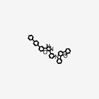 c1ccc(-c2ccc(-c3ccc4oc5c(-c6cccc(-n7c8ccccc8c8c9oc%10ccccc%10c9ccc87)c6)ncnc5c4c3)cc2)cc1